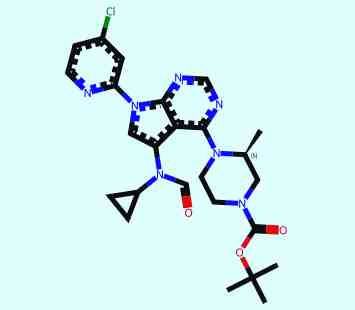 C[C@H]1CN(C(=O)OC(C)(C)C)CCN1c1ncnc2c1c(N(C=O)C1CC1)cn2-c1cc(Cl)ccn1